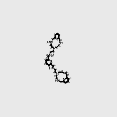 c1cc2nc(c1)CNCCN(CCNCc1cccc(CNCCN3CCNCc4cccc(n4)CNCC3)n1)CCNC2